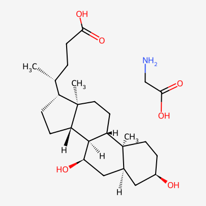 C[C@H](CCC(=O)O)[C@H]1CC[C@H]2[C@@H]3[C@H](O)C[C@@H]4C[C@H](O)CC[C@]4(C)[C@H]3CC[C@]12C.NCC(=O)O